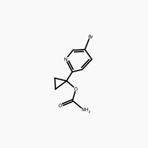 NC(=O)OC1(c2ccc(Br)cn2)CC1